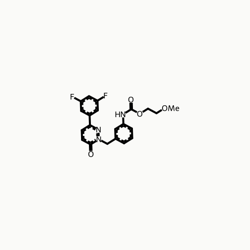 COCCOC(=O)Nc1cccc(Cn2nc(-c3cc(F)cc(F)c3)ccc2=O)c1